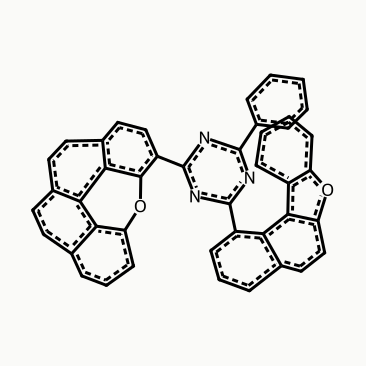 c1ccc(-c2nc(-c3ccc4ccc5ccc6cccc7c6c5c4c3O7)nc(-c3cccc4ccc5oc6ccccc6c5c34)n2)cc1